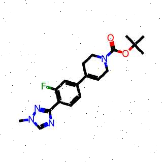 Cn1cnc(-c2ccc(C3=CCN(C(=O)OC(C)(C)C)CC3)cc2F)n1